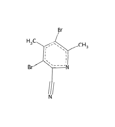 Cc1nc(C#N)c(Br)c(C)c1Br